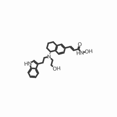 O=C(C=Cc1ccc2c(c1)CCC[C@H]2N(CCO)CCc1c[nH]c2ccccc12)NO